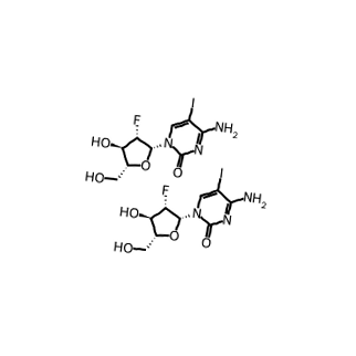 Nc1nc(=O)n([C@@H]2O[C@H](CO)[C@@H](O)[C@@H]2F)cc1I.Nc1nc(=O)n([C@@H]2O[C@H](CO)[C@@H](O)[C@@H]2F)cc1I